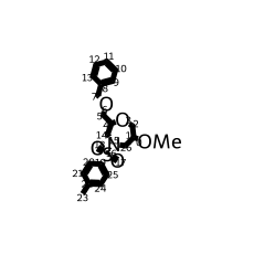 COC1COC(COCc2ccccc2)CN(S(=O)(=O)c2ccc(C)cc2)C1